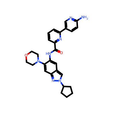 Nc1ccc(-c2cccc(C(=O)Nc3cc4cn(C5CCCC5)nc4cc3N3CCOCC3)n2)cn1